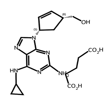 Nc1nc(NC2CC2)c2ncn([C@@H]3C=C[C@H](CO)C3)c2n1.O=C(O)CCCC(=O)O